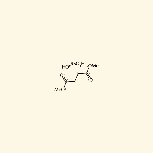 COC(=O)CCC(=O)OC.O=S(=O)(O)O